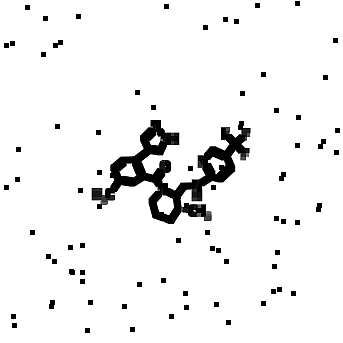 Cc1ccc(-c2cn[nH]c2)c(C(=O)N2CCC[C@@H](C)C2CNc2ccc(C(F)(F)F)cn2)c1